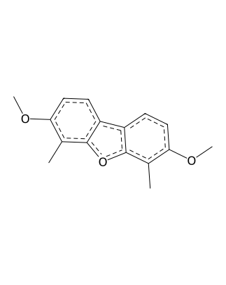 COc1ccc2c(oc3c(C)c(OC)ccc32)c1C